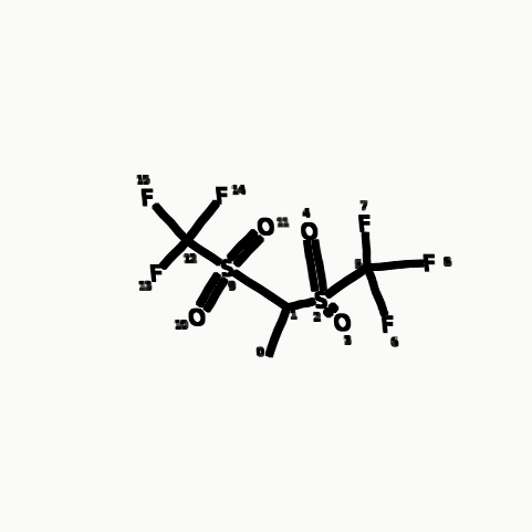 C[C](S(=O)(=O)C(F)(F)F)S(=O)(=O)C(F)(F)F